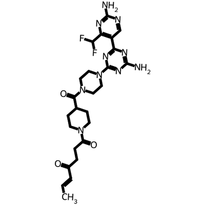 C/C=C/C(=O)CCC(=O)N1CCC(C(=O)N2CCN(c3nc(N)nc(-c4cnc(N)nc4C(F)F)n3)CC2)CC1